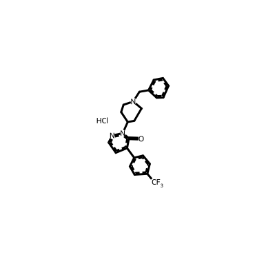 Cl.O=c1c(-c2ccc(C(F)(F)F)cc2)ccnn1C1CCN(Cc2ccccc2)CC1